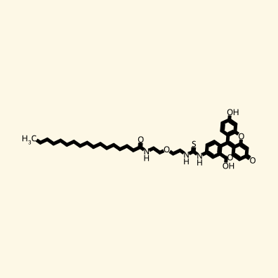 CCCCCCCCCCCCCCCCC(=O)NCCOCCNC(=S)Nc1ccc(-c2c3ccc(=O)cc-3oc3cc(O)ccc23)c(C(=O)O)c1